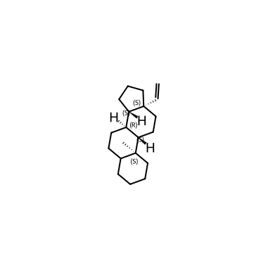 C=C[C@@]12CCC[C@H]1[C@@H]1CCC3CCCC[C@]3(C)[C@H]1CC2